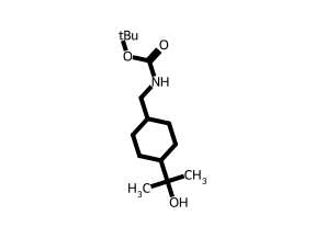 CC(C)(C)OC(=O)NCC1CCC(C(C)(C)O)CC1